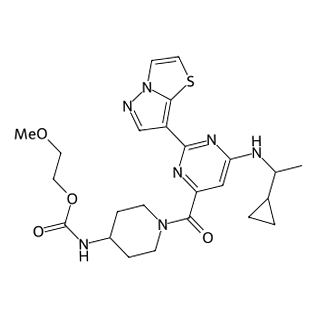 COCCOC(=O)NC1CCN(C(=O)c2cc(NC(C)C3CC3)nc(-c3cnn4ccsc34)n2)CC1